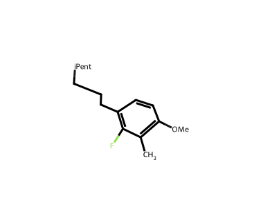 CCCC(C)CCCc1ccc(OC)c(C)c1F